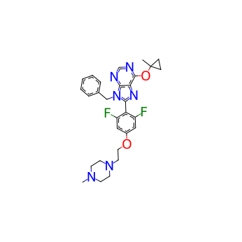 CN1CCN(CCOc2cc(F)c(-c3nc4c(OC5(C)CC5)ncnc4n3Cc3ccccc3)c(F)c2)CC1